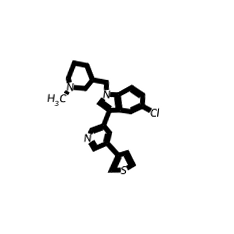 CN1CCCC(Cn2cc(-c3cncc(-c4ccsc4)c3)c3cc(Cl)ccc32)C1